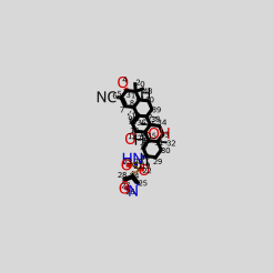 CC1(C)C(=O)C(C#N)=C[C@]2(C)C3=CC(=O)[C@]4(O)[C@@H]5C[C@@](C)(NS(=O)(=O)c6cnoc6)CC[C@@]5(C)CC[C@@]4(C)[C@]3(C)CC[C@@H]12